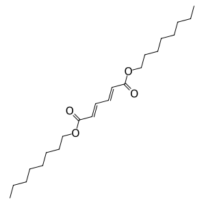 CCCCCCCCOC(=O)C=CC=CC(=O)OCCCCCCCC